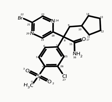 CS(=O)(=O)c1ccc(C(CC2CCCC2)(C(N)=O)c2cnc(Br)cn2)cc1Cl